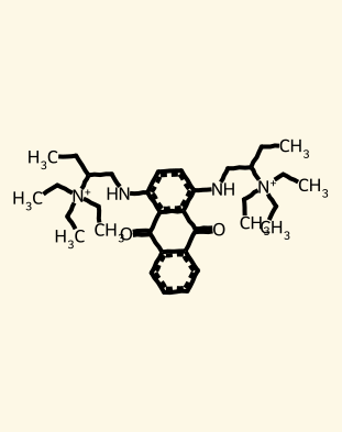 CCC(CNc1ccc(NCC(CC)[N+](CC)(CC)CC)c2c1C(=O)c1ccccc1C2=O)[N+](CC)(CC)CC